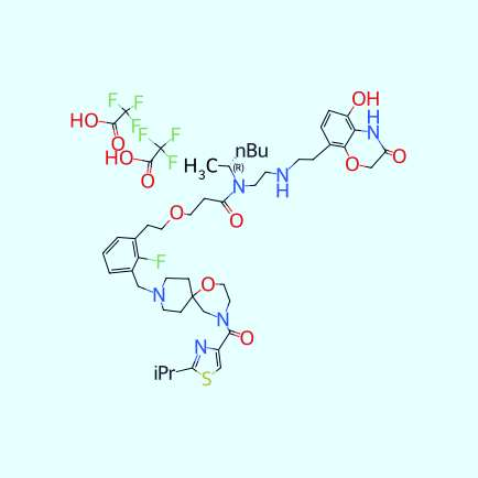 CCCC[C@@H](C)N(CCNCCc1ccc(O)c2c1OCC(=O)N2)C(=O)CCOCCc1cccc(CN2CCC3(CC2)CN(C(=O)c2csc(C(C)C)n2)CCO3)c1F.O=C(O)C(F)(F)F.O=C(O)C(F)(F)F